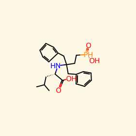 CC(C)C[C@H](NC(CC[PH](=O)O)(Cc1ccccc1)Cc1ccccc1)C(=O)O